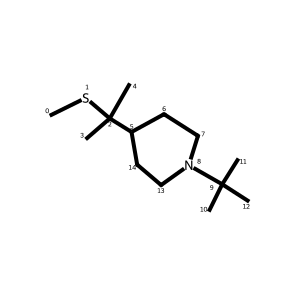 CSC(C)(C)C1CCN(C(C)(C)C)CC1